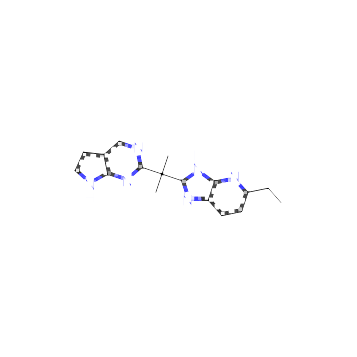 CCc1ccc2nc(C(C)(C)c3ncc4cc[nH]c4n3)[nH]c2n1